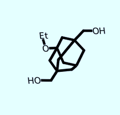 CCOC12CC3CC(CO)(CC(CO)(C3)C1)C2